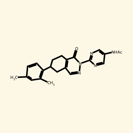 CC(=O)Nc1cnc(-n2ncc3c(c2=O)CCC(c2ccc(C)cc2C)C3)nc1